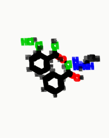 CC(C)(C)NN.Cl.O=C(Cl)c1ccccc1.O=C(Cl)c1ccccc1Cl